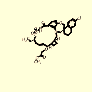 CC[C@@H]1C/C=C/[C@H](OCC(=O)OC)[C@@H]2CC[C@H]2CN2C[C@@]3(CCCc4cc(Cl)ccc43)COc3ccc(cc32)C(=O)NS(=O)(=O)C1